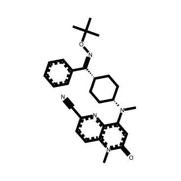 Cn1c(=O)cc(N(C)[C@H]2CC[C@@H](/C(=N/OC(C)(C)C)c3ccccc3)CC2)c2nc(C#N)ccc21